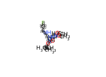 CC(C)(C)OC(=O)N1CCN(c2nc(CCCN[C@@H]3C[C@H]3c3ccc(F)cc3)cn(COCC[Si](C)(C)C)c2=O)CC1